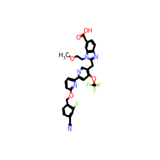 COCCn1c(Cc2cnc(-c3cccc(OCc4ccc(C#N)cc4F)n3)cc2OC(F)(F)F)nc2ccc(C(=O)O)cc21